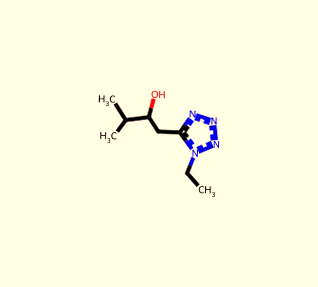 CCn1nnnc1CC(O)C(C)C